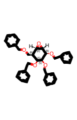 c1ccc(COC[C@H]2[C@H]3O[C@H]3[C@H](OCc3ccccc3)[C@@H](OCc3ccccc3)[C@H]2OCc2ccccc2)cc1